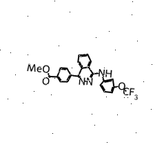 COC(=O)c1ccc(-c2nnc(Nc3cccc(OC(F)(F)F)c3)c3ccccc23)cc1